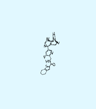 O=C(NCc1ncc(-c2ncnc3[nH]ncc23)cc1F)c1cc2c(s1)CCCC2